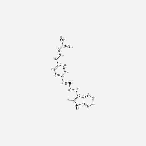 Cc1[nH]c2ccccc2c1CCNCc1ccc(CC=CC(=O)O)cc1